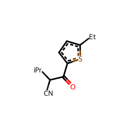 CCc1ccc(C(=O)C(C#N)C(C)C)s1